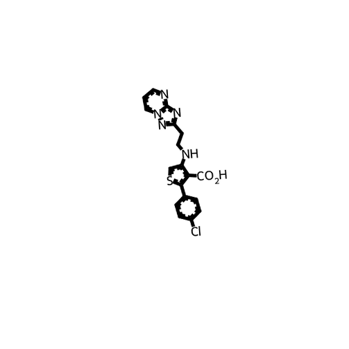 O=C(O)c1c(NCCc2nc3ncccn3n2)csc1-c1ccc(Cl)cc1